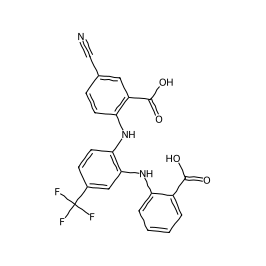 N#Cc1ccc(Nc2ccc(C(F)(F)F)cc2Nc2ccccc2C(=O)O)c(C(=O)O)c1